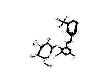 OC[C@H]1OC(Oc2c(F)cc(F)cc2/C=C/c2cccc(C(F)(F)F)c2)[C@H](O)[C@@H](O)[C@@H]1O